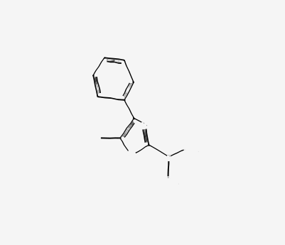 Cc1oc(I(C)C)nc1-c1ccccc1